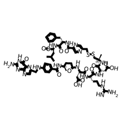 CC(C)C[C@@H](B=O)NC(=O)[C@H](Cc1ccccc1)NC(=O)c1cnc(CSSC[C@@H](C)NC(=O)[C@H](CC(=O)O)NC(=O)[C@H](CCCNC(=N)N)NC(=O)[C@H](CC(=O)O)NC(=O)CC[C@@H](C)NC(=O)c2ccc(NCc3cnc4nc(N)[nH]c(=O)c4n3)cc2)cn1